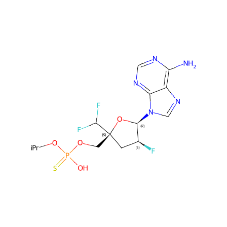 CC(C)OP(O)(=S)OC[C@]1(C(F)F)C[C@H](F)[C@H](n2cnc3c(N)ncnc32)O1